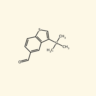 C[Si](C)(C)c1csc2ccc(C=O)cc12